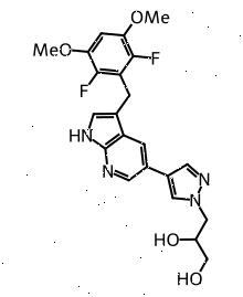 COc1cc(OC)c(F)c(Cc2c[nH]c3ncc(-c4cnn(CC(O)CO)c4)cc23)c1F